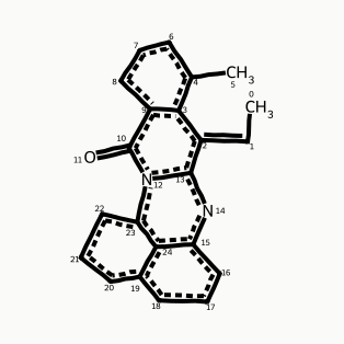 C/C=c1\c2c(C)cccc2c(=O)n2c1nc1cccc3cccc2c31